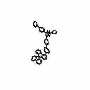 c1ccc(-c2ccc(-c3cc(-c4ccc(-c5ccc(-c6cccc7c6-c6ccccc6C7(c6ccccc6)c6ccccc6)cc5)cc4)nc(-c4ccccc4)n3)cc2)cc1